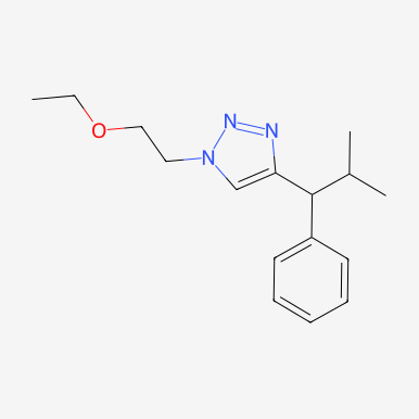 CCOCCn1cc(C(c2ccccc2)C(C)C)nn1